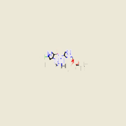 CC(C)Nc1cc(Cl)ncc1C(=O)Nc1cnn(CC(=O)OC(C)(C)C)c1